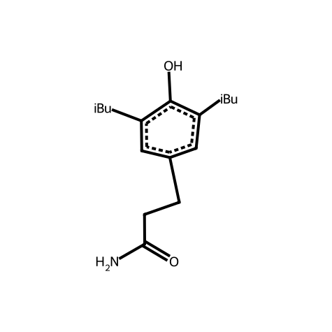 CCC(C)c1cc(CCC(N)=O)cc(C(C)CC)c1O